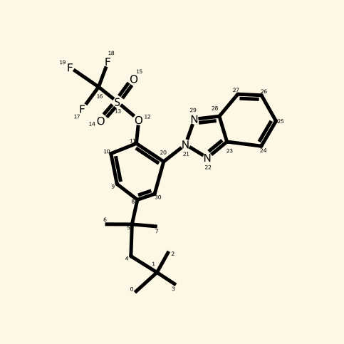 CC(C)(C)CC(C)(C)c1ccc(OS(=O)(=O)C(F)(F)F)c(-n2nc3ccccc3n2)c1